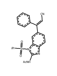 CC(=O)Nc1nc2ccc(C(=CC#N)c3ccccc3)cc2n1S(=O)(=O)C(C)C